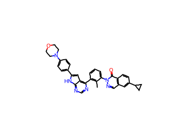 Cc1c(-c2ncnc3[nH]c(-c4ccc(N5CCOCC5)cc4)cc23)cccc1-n1ncc2cc(C3CC3)ccc2c1=O